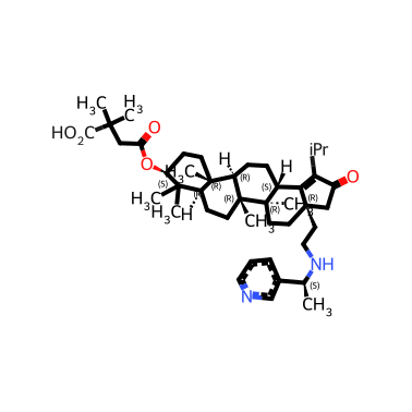 CC(C)C1=C2[C@H]3CC[C@@H]4[C@@]5(C)CC[C@H](OC(=O)CC(C)(C)C(=O)O)C(C)(C)[C@@H]5CC[C@@]4(C)[C@]3(C)CC[C@@]2(CCN[C@@H](C)c2cccnc2)CC1=O